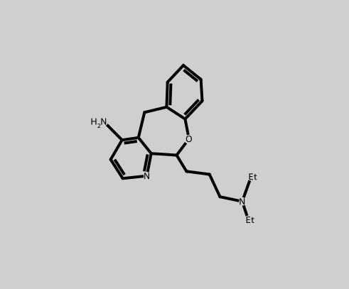 CCN(CC)CCCC1Oc2ccccc2Cc2c(N)ccnc21